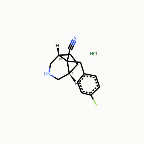 Cl.N#CC1(Cc2ccc(F)cc2)[C@@H]2CC[C@H]1CNC2